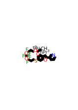 CCCC(C)(C(=O)OCCC(F)(F)OC(F)(F)OC(F)(F)CCSc1ccc2cc(-c3cccnc3)oc2c1)C(C)(C)C